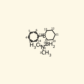 BN(C)C.c1ccc(B2CCCCC2)cc1